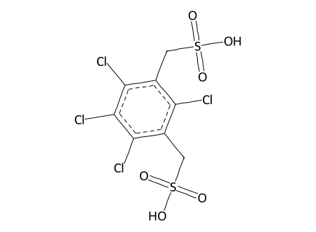 O=S(=O)(O)Cc1c(Cl)c(Cl)c(Cl)c(CS(=O)(=O)O)c1Cl